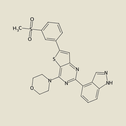 CS(=O)(=O)c1cccc(-c2cc3nc(-c4cccc5[nH]ncc45)nc(N4CCOCC4)c3s2)c1